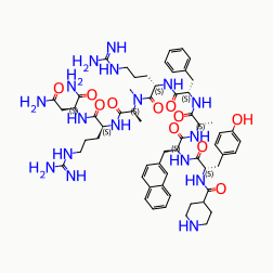 C[C@H](NC(=O)[C@H](Cc1ccc2ccccc2c1)NC(=O)[C@H](Cc1ccc(O)cc1)NC(=O)C1CCNCC1)C(=O)N[C@@H](Cc1ccccc1)C(=O)N[C@@H](CCCNC(=N)N)C(=O)N(C)[C@@H](C)C(=O)N[C@@H](CCCNC(=N)N)C(=O)N[C@@H](CC(N)=O)C(N)=O